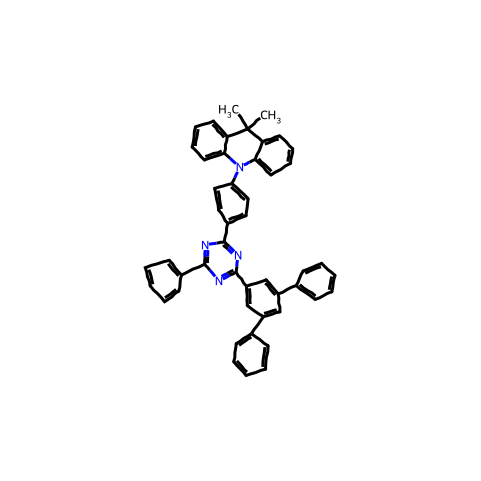 CC1(C)c2ccccc2N(c2ccc(-c3nc(-c4ccccc4)nc(-c4cc(-c5ccccc5)cc(-c5ccccc5)c4)n3)cc2)c2ccccc21